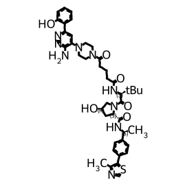 Cc1ncsc1-c1ccc([C@H](C)NC(=O)[C@@H]2C[C@@H](O)CN2C(=O)[C@@H](NC(=O)CCCC(=O)N2CCN(c3cc(-c4ccccc4O)nnc3N)CC2)C(C)(C)C)cc1